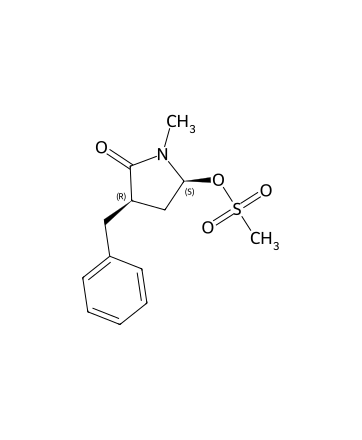 CN1C(=O)[C@H](Cc2ccccc2)C[C@@H]1OS(C)(=O)=O